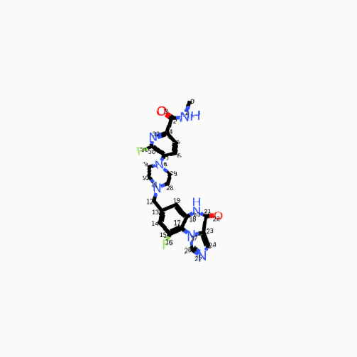 CNC(=O)c1ccc(N2CCN(Cc3cc(F)c4c(c3)[nH]c(=O)c3cncn34)CC2)c(F)n1